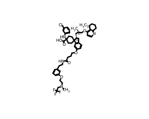 C[C@@H](COc1ccnc2c1[C@H](C)CCC2)C[C@H]1Cc2ccc(OCCCC(=O)NCCc3cccc(OCCN(C)CC(F)(F)F)c3)cc2C12CCC(Nc1cccc(Cl)c1)(C(=O)O)CC2